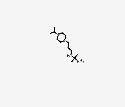 CC(C)N1CCN(CCCNC(C)(C)N)CC1